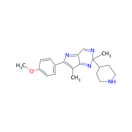 COc1ccc(C2=C(C)C3=NC(C)(C4CCNCC4)N=CC3=N2)cc1